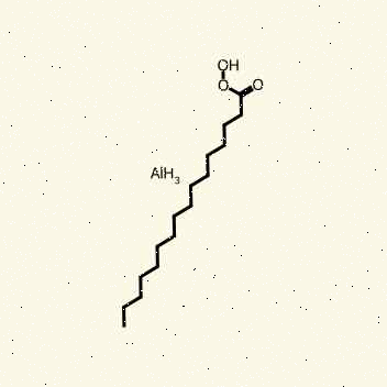 CCCCCCCCCCCCCCCC(=O)OO.[AlH3]